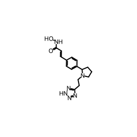 O=C(C=Cc1ccc(C2CCCN2CCc2nn[nH]n2)cc1)NO